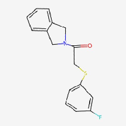 O=C(CSc1cccc(F)c1)N1Cc2ccccc2C1